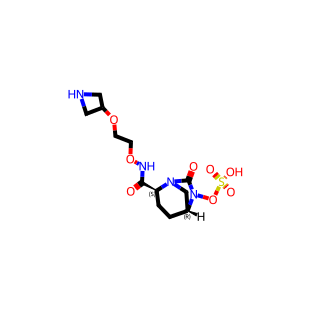 O=C(NOCCOC1CNC1)[C@@H]1CC[C@@H]2CN1C(=O)N2OS(=O)(=O)O